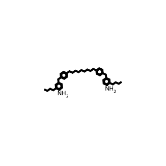 CCCCc1cc(Cc2ccc(CCCCCCCCCc3ccc(Cc4ccc(N)c(CCCC)c4)cc3)cc2)ccc1N